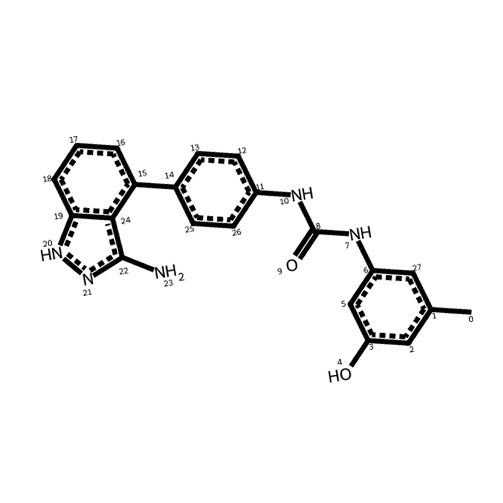 Cc1cc(O)cc(NC(=O)Nc2ccc(-c3cccc4[nH]nc(N)c34)cc2)c1